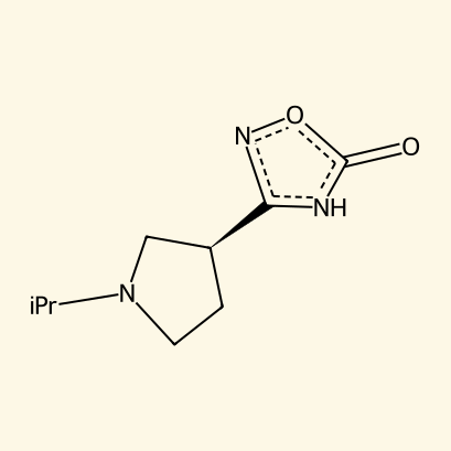 CC(C)N1CC[C@H](c2noc(=O)[nH]2)C1